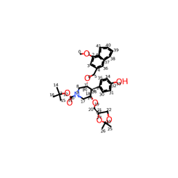 COc1cc(CO[C@H]2CN(C(=O)OC(C)(C)C)C[C@H](OC[C@H]3COC(C)(C)O3)[C@@H]2c2ccc(O)cc2)cc2ccccc12